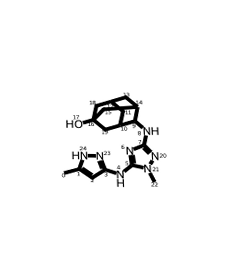 Cc1cc(Nc2nc(NC3C4CC5CC3CC(O)(C5)C4)nn2C)n[nH]1